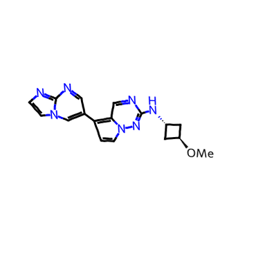 CO[C@H]1C[C@H](Nc2ncc3c(-c4cnc5nccn5c4)ccn3n2)C1